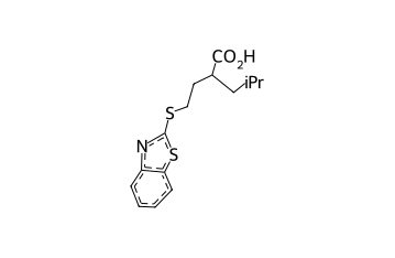 CC(C)CC(CCSc1nc2ccccc2s1)C(=O)O